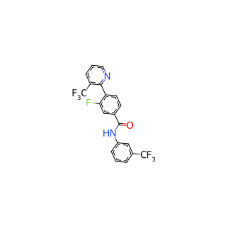 O=C(Nc1cccc(C(F)(F)F)c1)c1ccc(-c2ncccc2C(F)(F)F)c(F)c1